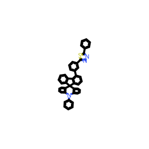 c1ccc(-c2nnc(-c3cccc(-c4cccc5c4-c4ccccc4C54c5ccccc5N(c5ccccc5)c5ccccc54)c3)s2)cc1